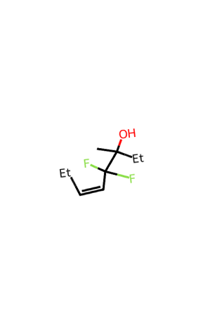 [CH2]CC(C)(O)C(F)(F)/C=C\CC